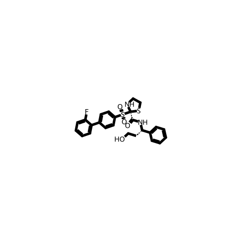 O=C(N[C@@H](CCO)c1ccccc1)[C@]1(S(=O)(=O)c2ccc(-c3ccccc3F)cc2)NCCS1